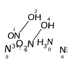 N.O=NO.O=[N+]([O-])O.[N+3].[N]